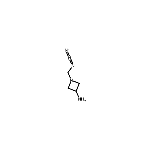 [N-]=[N+]=NCN1CC(N)C1